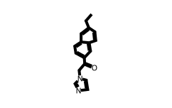 CCc1ccc2cc(C(=O)Cn3ccnc3)ccc2c1